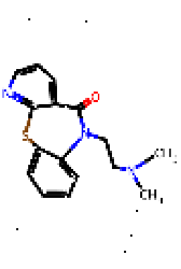 CN(C)CCN1C(=O)c2cccnc2Sc2ccccc21